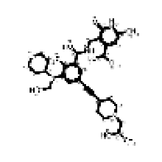 CCN(c1cc(C#CC2CCN(C[C@@H](C)O)CC2)cc(C(O)NCc2c(C(C)C)cc(C)[nH]c2=O)c1C)C1CCOCC1